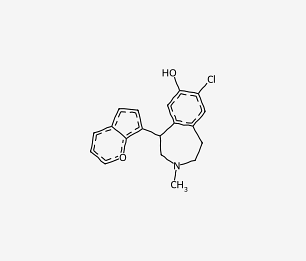 CN1CCc2cc(Cl)c(O)cc2C(c2ccc3cccoc2-3)C1